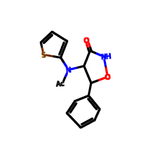 CC(=O)N(c1cccs1)C1C(=O)NOC1c1ccccc1